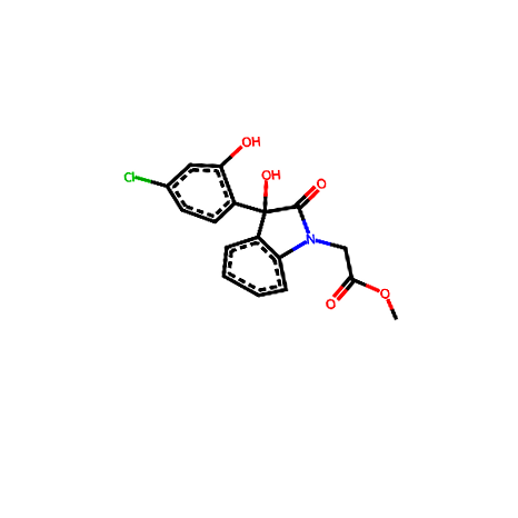 COC(=O)CN1C(=O)C(O)(c2ccc(Cl)cc2O)c2ccccc21